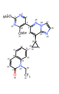 COc1ncc(-c2cc([C@H]3C[C@@H]3c3ccc4ccc(=O)n(CC(F)(F)F)c4c3)c3nccn3n2)c(OC)n1